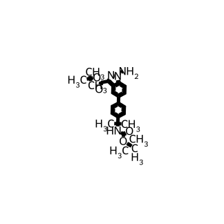 CC(C)(C)OC(=O)NC(C)(C)c1ccc(-c2ccc3c(c2)c(C(=O)OC(C)(C)C)nn3N)cc1